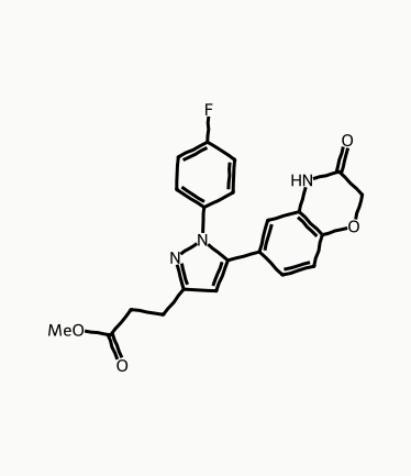 COC(=O)CCc1cc(-c2ccc3c(c2)NC(=O)CO3)n(-c2ccc(F)cc2)n1